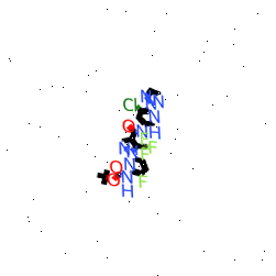 CC(C)(C)OC(=O)Nc1nc(-n2ncc(C(=O)Nc3cnc(-n4nccn4)c(Cl)c3)c2C(F)(F)F)ccc1F